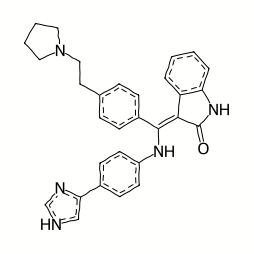 O=C1Nc2ccccc2/C1=C(/Nc1ccc(-c2c[nH]cn2)cc1)c1ccc(CCN2CCCC2)cc1